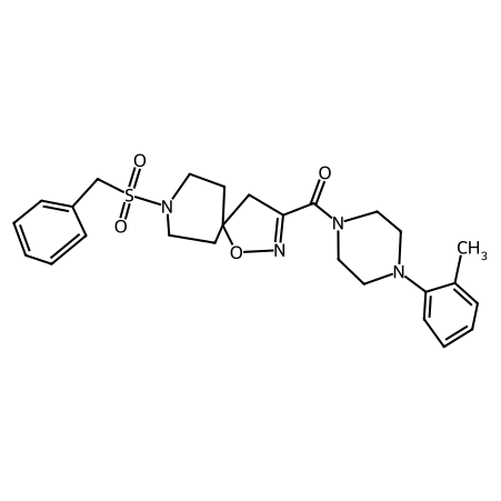 Cc1ccccc1N1CCN(C(=O)C2=NOC3(CCN(S(=O)(=O)Cc4ccccc4)CC3)C2)CC1